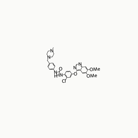 COc1cc2ncnc(Oc3ccc(NC(=O)Nc4ccc(CN5CCN(C)CC5)cc4)c(Cl)c3)c2cc1OC